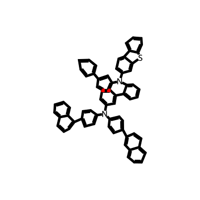 c1ccc(-c2cccc(N(c3ccc4c(c3)sc3ccccc34)c3ccccc3-c3cccc(N(c4ccc(-c5ccc6ccccc6c5)cc4)c4ccc(-c5cccc6ccccc56)cc4)c3)c2)cc1